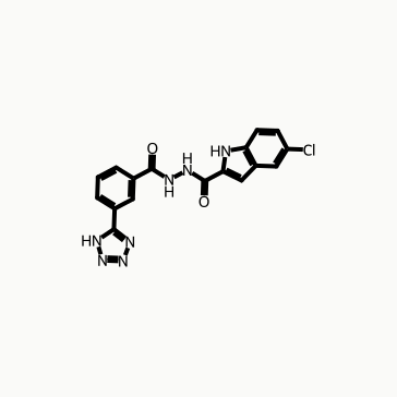 O=C(NNC(=O)c1cc2cc(Cl)ccc2[nH]1)c1cccc(-c2nnn[nH]2)c1